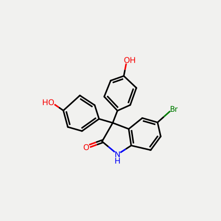 O=C1Nc2ccc(Br)cc2C1(c1ccc(O)cc1)c1ccc(O)cc1